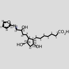 O=C(O)CCCCCC[C@@H]1C(CCC(O)/C=N/c2ccco2)[C@H](O)C[C@@H]1O